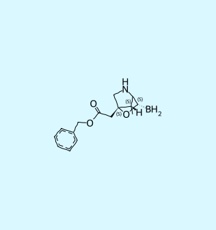 B[C@@H]1O[C@]2(CC(=O)OCc3ccccc3)CNC1[C@@H]2C